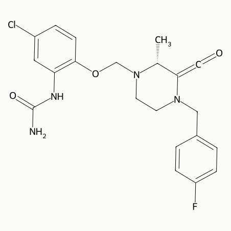 C[C@@H]1C(=C=O)N(Cc2ccc(F)cc2)CCN1COc1ccc(Cl)cc1NC(N)=O